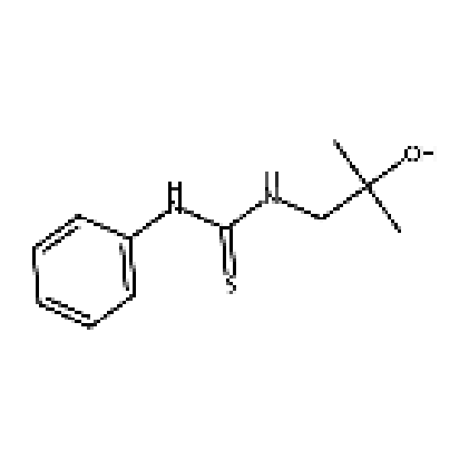 CC(C)(O)CNC(=S)Nc1ccccc1